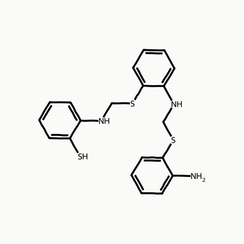 Nc1ccccc1SCNc1ccccc1SCNc1ccccc1S